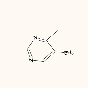 Bc1cncnc1C